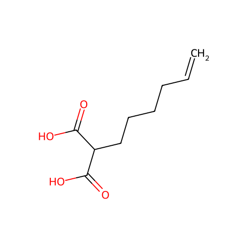 C=CCCCCC(C(=O)O)C(=O)O